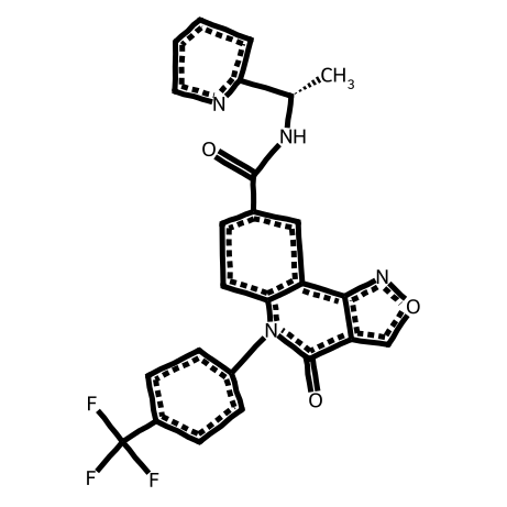 C[C@H](NC(=O)c1ccc2c(c1)c1nocc1c(=O)n2-c1ccc(C(F)(F)F)cc1)c1ccccn1